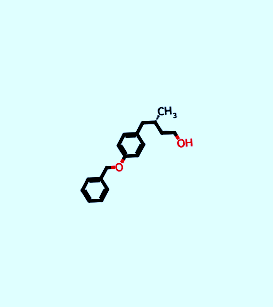 C[C@H](CCO)Cc1ccc(OCc2ccccc2)cc1